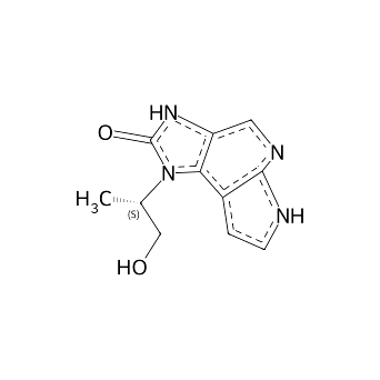 C[C@@H](CO)n1c(=O)[nH]c2cnc3[nH]ccc3c21